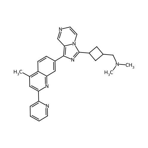 Cc1cc(-c2ccccn2)nc2cc(-c3nc(C4CC(CN(C)C)C4)n4ccncc34)ccc12